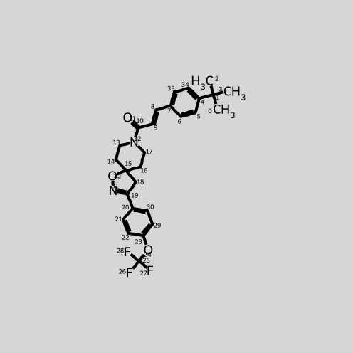 CC(C)(C)c1ccc(C=CC(=O)N2CCC3(CC2)CC(c2ccc(OC(F)(F)F)cc2)=NO3)cc1